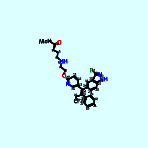 CNC(=O)CCCNCCOc1ccc(C(=C(CC(F)(F)F)c2ccccc2)c2ccc3[nH]nc(F)c3c2)cn1